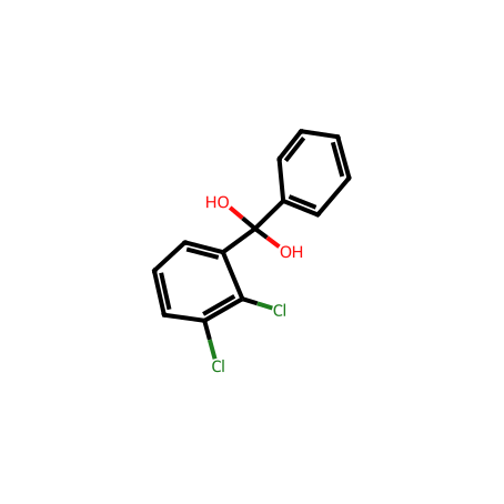 OC(O)(c1ccccc1)c1cccc(Cl)c1Cl